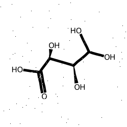 O=C(O)[C@@H](O)[C@H](O)C(O)O